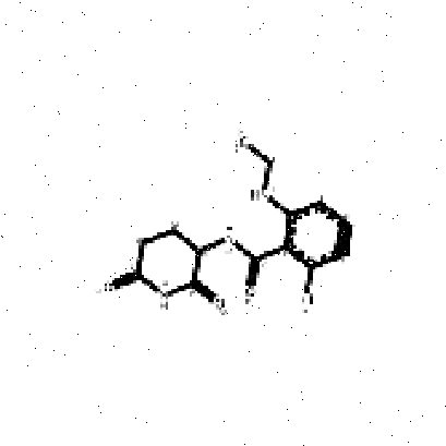 CCNc1cc#cc(Cl)c1C(=O)NC1CCC(=O)NC1=O